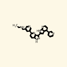 CCNCc1cncc(-c2ccc3[nH]nc(-c4cc5c(-c6cccnc6)ccnc5[nH]4)c3n2)c1